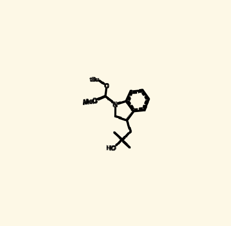 COC(OC(C)(C)C)N1CC(CC(C)(C)O)c2ccccc21